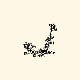 CC[C@H](C)[C@H](CCC(=O)OCN1CCC[C@H]1[C@H](OC)[C@@H](C)C(=O)N[C@@H](Cc1ccc(NC(=O)CNC(=O)CCCCCN2C(=O)C=CC2=O)cc1)C(=O)OC)N(C)C(=O)[C@@H](NC(=O)[C@@]1(C)CCCN1C)C(C)C